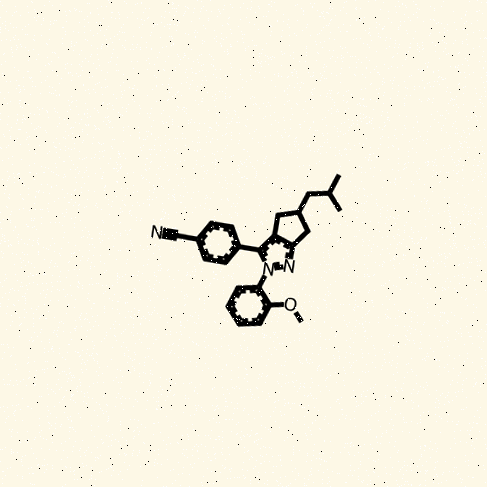 COc1ccccc1-n1nc2c(c1-c1ccc(C#N)cc1)CC(CC(C)C)C2